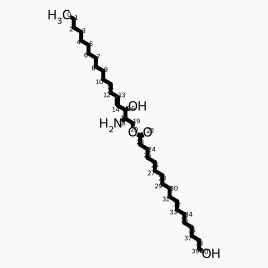 CCCCCCCCCCCCCC=CC(O)C(N)COC(=O)CCCCCCCCCCCCCCCCCO